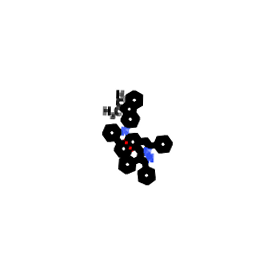 CC1(C)c2ccccc2-c2ccc(N(c3ccc4c(c3)cc(-c3ccccc3)n3nc(-c5ccccc5)c(-c5ccccc5)c43)c3ccccc3-c3ccccc3)cc21